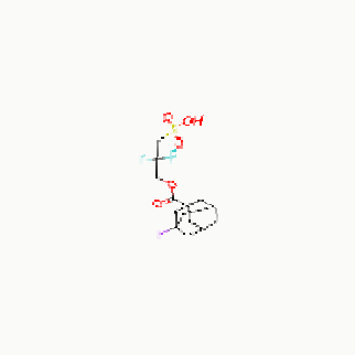 O=C(OCC(F)(F)CS(=O)(=O)O)C12CC3CC(CC(I)(C3)C1)C2